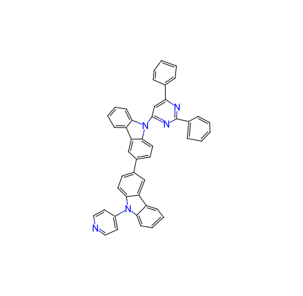 c1ccc(-c2cc(-n3c4ccccc4c4cc(-c5ccc6c(c5)c5ccccc5n6-c5ccncc5)ccc43)nc(-c3ccccc3)n2)cc1